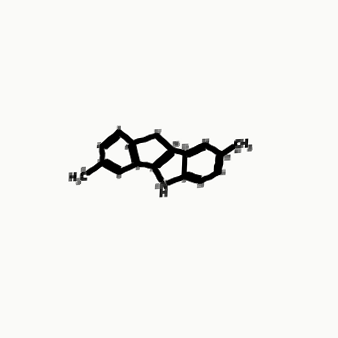 Cc1ccc2c(c1)-c1[nH]c3ccc(C)cc3c1C2